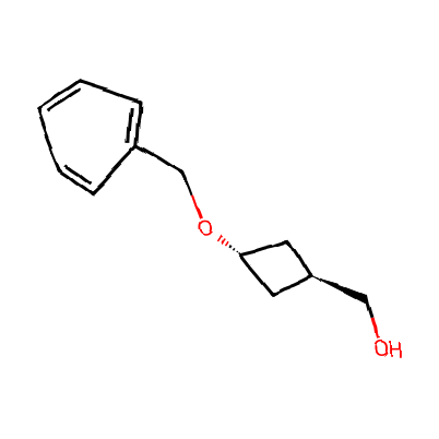 OC[C@H]1C[C@H](OCc2ccccc2)C1